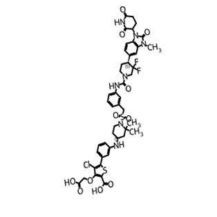 Cn1c(=O)n(C2CCC(=O)NC2=O)c2ccc([C@@H]3CCN(C(=O)Nc4cccc(CS(=O)(=O)N5CC[C@H](Nc6cccc(-c7sc(C(=O)O)c(OCC(=O)O)c7Cl)c6)CC5(C)C)c4)CC3(F)F)cc21